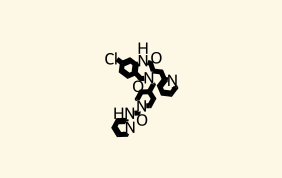 O=C1Nc2cc(Cl)ccc2C(=O)N(CC2CCN(C(=O)Nc3ccccn3)CC2)C1Cc1ccccn1